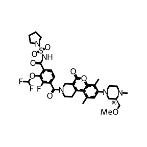 COC[C@H]1CN(c2cc(C)c3c4c(c(=O)oc3c2C)CN(C(=O)c2ccc(C(=O)NS(=O)(=O)N3CCCC3)c(OC(F)F)c2F)CC4)CCN1C